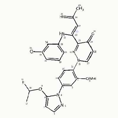 COc1cc(-n2nccc2OC(F)F)ccc1-n1ccc(=O)c(/C(=C/C(C)=N)Nc2cccc(Cl)c2)n1